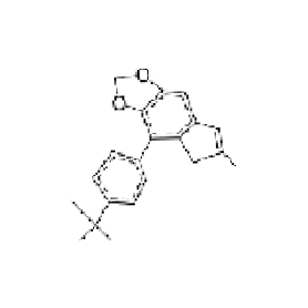 CC1=Cc2cc3c(c(-c4ccc(C(C)(C)C)cc4)c2C1)OCO3